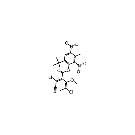 C#C/C(Cl)=C(C(=O)Oc1c(C(C)(C)C)cc([N+](=O)[O-])c(C)c1[N+](=O)[O-])\C(OC)=C(/C)Cl